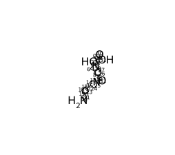 CC(O)(CN1CCc2cc(C(=O)N3CCC(c4cccc(CN)c4)CC3)ccc21)C(=O)O